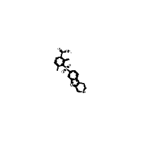 Cc1ccc(C(N)=O)c(C)c1S(=O)(=O)c1ccc2c3c(oc2c1)CNCC3